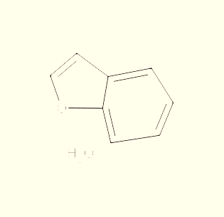 O.c1ccc2occc2c1